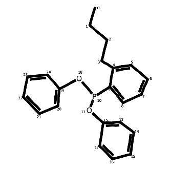 CCCCc1ccccc1P(Oc1ccccc1)Oc1ccccc1